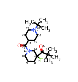 CC(C)(C)C(=O)C1(F)CCCN(C(=O)C2CCN(C(C)(C)C)CC2)C1